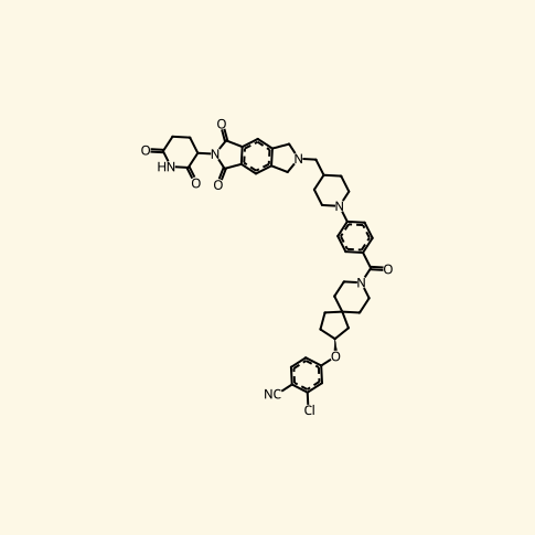 N#Cc1ccc(O[C@H]2CCC3(CCN(C(=O)c4ccc(N5CCC(CN6Cc7cc8c(cc7C6)C(=O)N(C6CCC(=O)NC6=O)C8=O)CC5)cc4)CC3)C2)cc1Cl